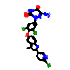 Cc1cc(-c2ccc(Cl)nc2)nc2ccc(Oc3c(Cl)cc(-n4nc(N)c(=O)[nH]c4=O)cc3Cl)cc12